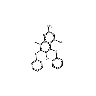 Cc1c(Sc2ccccc2)c(C#N)c(Sc2ccccc2)c2c(N)nc(N)nc12